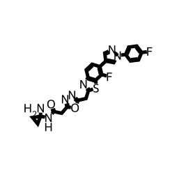 NC1(NC(=O)Cc2nnc(Cc3nc4ccc(-c5cnn(-c6ccc(F)cc6)c5)c(F)c4s3)o2)CC1